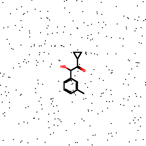 Cc1cccc(C(O)C(=O)C2CC2)c1